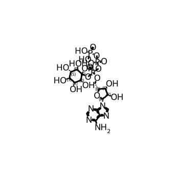 Nc1ncnc2c1ncn2[C@@H]1O[C@H](COP(=O)(O[C@]2(O)[C@H](O)[C@H](O)[C@@H](O)[C@H](O)[C@H]2O)OP(=O)(O)OP(=O)(O)O)[C@@H](O)[C@H]1O